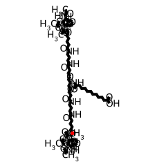 CC(=O)N[C@H]1[C@H]2OC[C@](COCCCCC(=O)NCCCNC(=O)CCOCC(COCCC(=O)NCCCNC(=O)CCCCOC[C@@]34CO[C@@H](O3)[C@H](NC(C)=O)[C@@H](OC(C)=O)[C@H]4OC(C)=O)NC(=O)CCCCCCCCCCC(=O)O)(O2)[C@H](OC(C)=O)[C@@H]1OC(C)=O